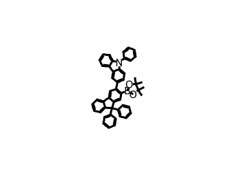 CC1(C)OB(c2cc3c(cc2-c2ccc4c(c2)c2ccccc2n4-c2ccccc2)-c2ccccc2C3(c2ccccc2)c2ccccc2)OC1(C)C